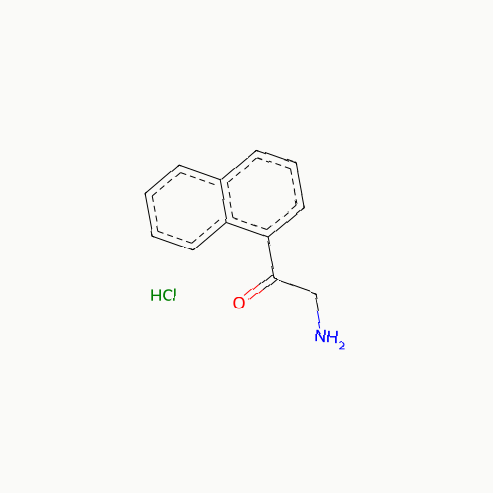 Cl.NCC(=O)c1cccc2ccccc12